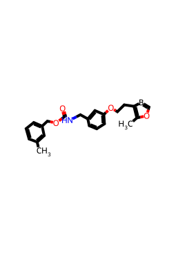 Cc1cccc(COC(=O)NCc2cccc(OCCc3bcoc3C)c2)c1